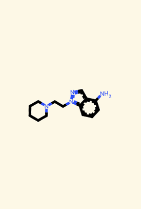 Nc1cccc2c1cnn2CCN1CCCCC1